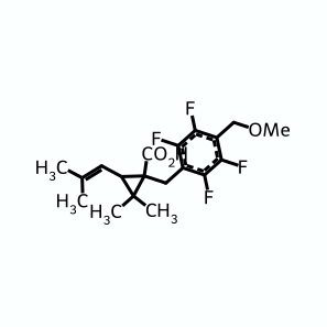 COCc1c(F)c(F)c(CC2(C(=O)O)C(C=C(C)C)C2(C)C)c(F)c1F